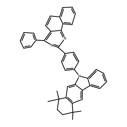 CC1(C)CCC(C)(C)c2cc3c(cc21)c1ccccc1n3-c1ccc(-c2nc(-c3ccccc3)c3ccc4ccccc4c3n2)cc1